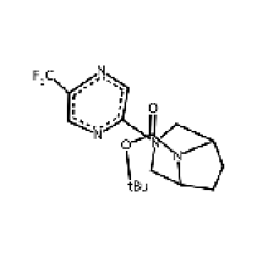 CC(C)(C)OC(=O)N1C2CCC1CN(c1cnc(C(F)(F)F)cn1)C2